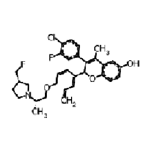 C=C/C=C(\C=C/COC[C@H](C)N1CC[C@@H](CF)C1)C1Oc2ccc(O)cc2C(C)=C1c1ccc(Cl)c(F)c1